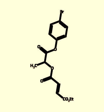 CCOC(=O)/C=C/C(=O)OC(C)C(=O)Oc1ccc(Br)cc1